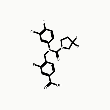 O=C(O)c1ccc(CN(C(=O)N2CCC(F)(F)C2)c2ccc(F)c(Cl)c2)c(F)c1